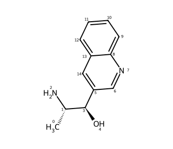 C[C@H](N)[C@H](O)c1cnc2ccccc2c1